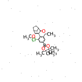 CCc1cc(B2OC(C)(C)C(C)(C)O2)cc(Cl)c1C1=C(OC)C2CCC(C2)C1=O